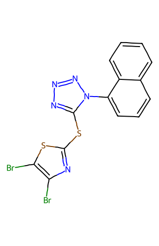 Brc1nc(Sc2nnnn2-c2cccc3ccccc23)sc1Br